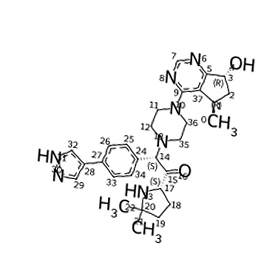 C[C@@H]1C[C@@H](O)c2ncnc(N3CCN([C@H](C(=O)[C@@H]4CCC(C)(C)N4)c4ccc(-c5cn[nH]c5)cc4)CC3)c21